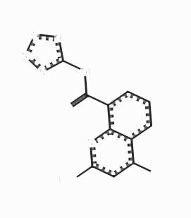 Cc1cc(C)c2cccc(C(=O)Nc3nnn[nH]3)c2n1